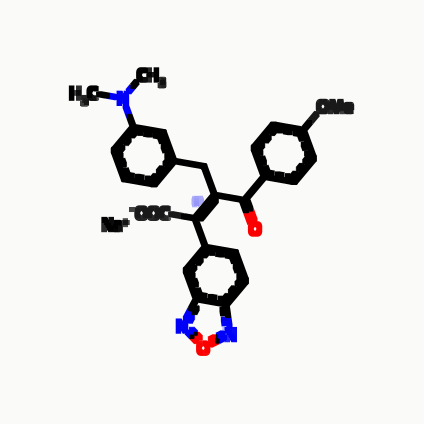 COc1ccc(C(=O)/C(Cc2cccc(N(C)C)c2)=C(/C(=O)[O-])c2ccc3nonc3c2)cc1.[Na+]